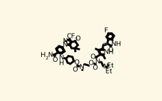 CCN(CC)CCN(C(=O)OCCN(C)C(=O)OC1CCC(Nc2cc(-n3nc(C(F)(F)F)c4c3CC(C)(C)CC4=O)ccc2C(N)=O)CC1)C(=O)c1c(C)[nH]c(/C=C2\C(=O)Nc3ccc(F)cc32)c1C